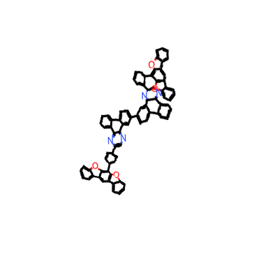 c1ccc(-c2c3oc4ccccc4c3cc3c2oc2ccccc23)c(-c2cnc3c4ccccc4c4ccc(-c5ccc6c7ccccc7c7nc(-c8ccc(-c9c%10oc%11ccccc%11c%10cc%10c9oc9ccccc9%10)cc8)cnc7c6c5)cc4c3n2)c1